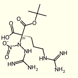 CC(C)(C)OC(=O)[C@](CCCNC(=N)N)(C(=O)O)N(NC(=N)N)[N+](=O)[O-]